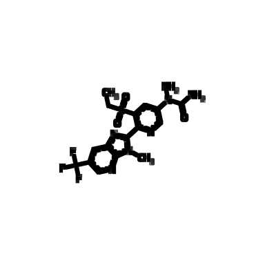 CCS(=O)(=O)c1cc(N(N)C(N)=O)cnc1-c1nc2cc(C(F)(F)F)cnc2n1C